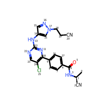 C[C@@H](C#N)NC(=O)c1ccc(-c2nc(Nc3cnn(CCC#N)c3)ncc2Cl)cc1